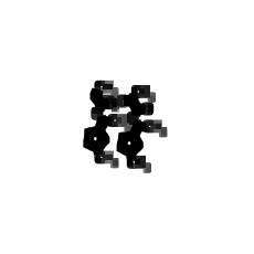 C=C(C)C(=O)OC(C)C1CCC(C)C1.C=CC(=O)OC(C)C1CCC(C)C1